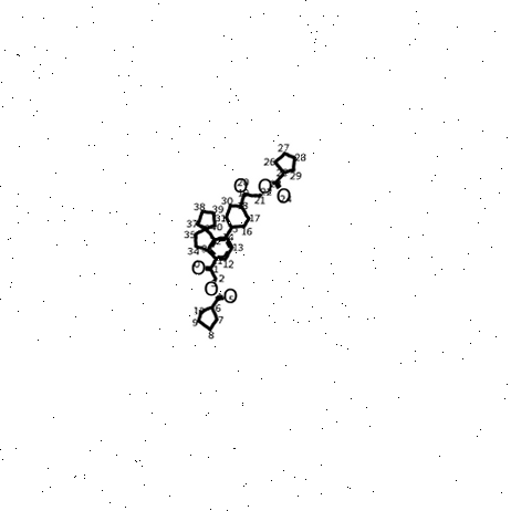 O=C(COC(=O)C1CCCC1)c1ccc(C2CCC(C(=O)COC(=O)C3CCCC3)CC2)c2c1CCC21CCCC1